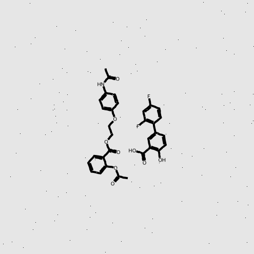 CC(=O)Nc1ccc(OCCOC(=O)c2ccccc2OC(C)=O)cc1.O=C(O)c1cc(-c2ccc(F)cc2F)ccc1O